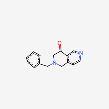 O=C1CN(Cc2ccccc2)Cc2ccncc21